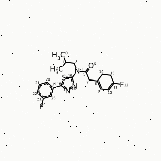 CC(C)CN(C(=O)CC1=CC=C(F)CC1)c1nnc(-c2cccc(F)c2)s1